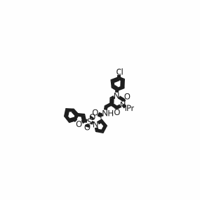 CC(C)n1c(=O)c(CNC(=O)[C@@H]2CCCN2S(=O)(=O)c2cc3ccccc3o2)cn(-c2ccc(Cl)cc2)c1=O